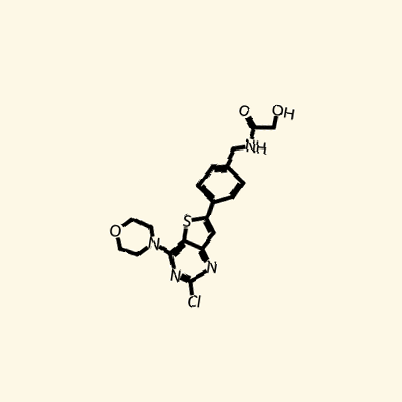 O=C(CO)NCc1ccc(-c2cc3nc(Cl)nc(N4CCOCC4)c3s2)cc1